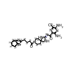 Nc1nc(N)c(C(=O)/N=C2\NCC3(CCN(C(=O)CCCc4nc5ccccc5s4)CC3)N2)nc1Cl